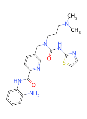 CN(C)CCCN(Cc1ccc(C(=O)Nc2ccccc2N)nc1)C(=O)Nc1nccs1